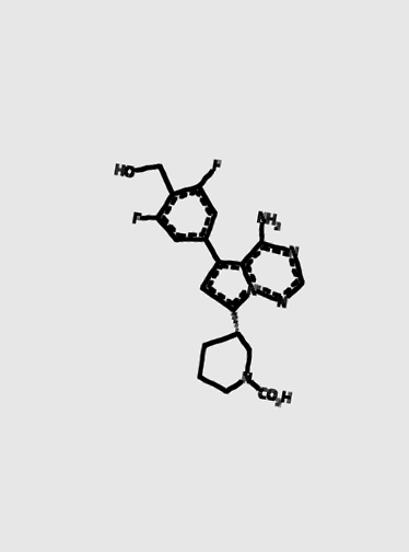 Nc1ncnn2c([C@H]3CCCN(C(=O)O)C3)cc(-c3cc(F)c(CO)c(F)c3)c12